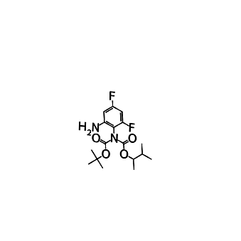 CC(C)C(C)OC(=O)N(C(=O)OC(C)(C)C)c1c(N)cc(F)cc1F